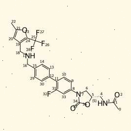 CC(=O)NC[C@H]1CN(c2ccc(-c3ccc(CNCc4cc(C)oc4C(F)(F)F)cc3)c(F)c2)C(=O)O1